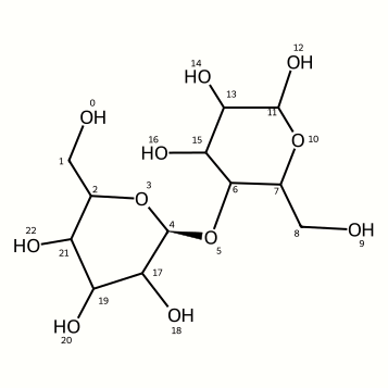 OCC1O[C@@H](OC2C(CO)OC(O)C(O)C2O)C(O)C(O)C1O